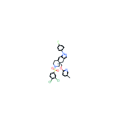 Cc1ccc(OC[C@]23Cc4cnn(-c5ccc(F)cc5)c4C=C2CCN(S(=O)(=O)c2ccc(Cl)c(Cl)c2)C3)nc1